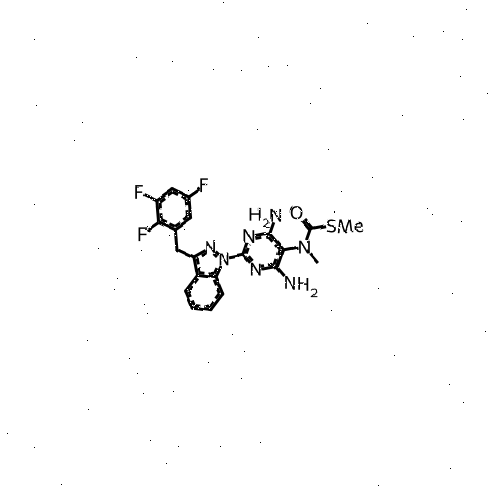 CSC(=O)N(C)c1c(N)nc(-n2nc(Cc3cc(F)cc(F)c3F)c3ccccc32)nc1N